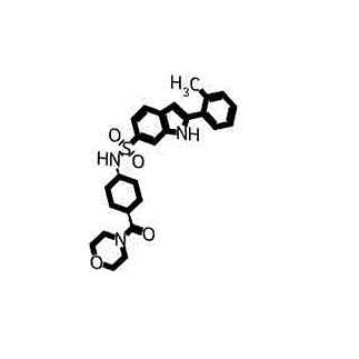 Cc1ccccc1-c1cc2ccc(S(=O)(=O)N[C@H]3CC[C@H](C(=O)N4CCOCC4)CC3)cc2[nH]1